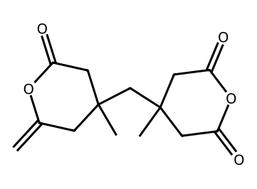 C=C1CC(C)(CC2(C)CC(=O)OC(=O)C2)CC(=O)O1